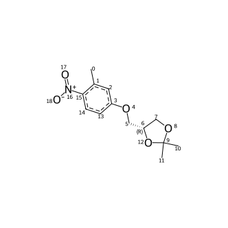 Cc1cc(OC[C@@H]2COC(C)(C)O2)ccc1[N+](=O)[O-]